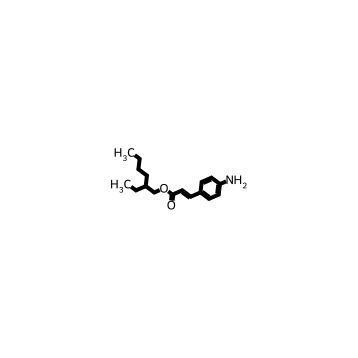 CCCCC(CC)COC(=O)C=Cc1ccc(N)cc1